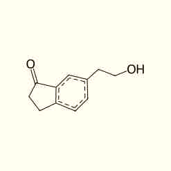 O=C1CCc2ccc(CCO)cc21